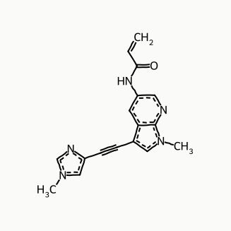 C=CC(=O)Nc1cnc2c(c1)c(C#Cc1cn(C)cn1)cn2C